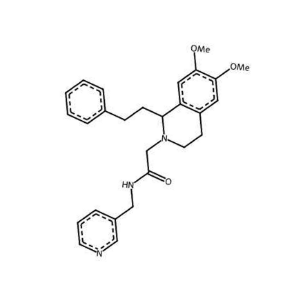 COc1cc2c(cc1OC)C(CCc1ccccc1)N(CC(=O)NCc1cccnc1)CC2